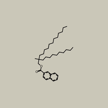 CCCCCCCCCCCCC(C)(CCCCCCCCCC)COC(=O)c1ccc2ccccc2c1